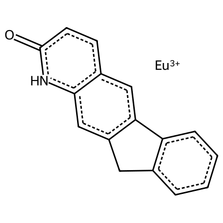 O=c1ccc2cc3c(cc2[nH]1)Cc1ccccc1-3.[Eu+3]